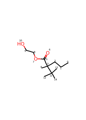 CCCC(C)(C(=O)OCCO)C(C)(C)C